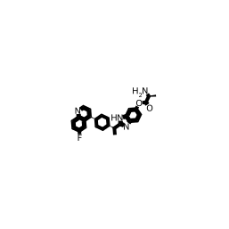 CC(c1nc2ccc(OC(=O)[C@H](C)N)cc2[nH]1)[C@H]1CC[C@@H](c2ccnc3ccc(F)cc32)CC1